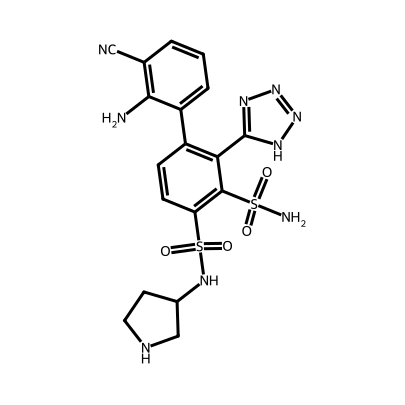 N#Cc1cccc(-c2ccc(S(=O)(=O)NC3CCNC3)c(S(N)(=O)=O)c2-c2nnn[nH]2)c1N